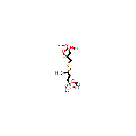 CCO[Si](CCCSSC([SiH3])CC[Si](OCC)(OCC)OCC)(OCC)OCC